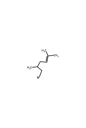 CC(C)=CCC(C)CBr